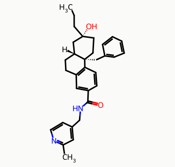 CCC[C@@]1(O)CC[C@@]2(Cc3ccccc3)c3ccc(C(=O)NCc4ccnc(C)c4)cc3CC[C@@H]2C1